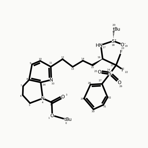 CC(C)(C)OC(=O)N1CCCc2ccc(CCCC[C@@H](N[S@@+]([O-])C(C)(C)C)C(F)(F)S(=O)(=O)c3ccccc3)nc21